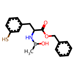 CB(O)NC(Cc1cccc(S)c1)C(=O)OCc1ccccc1